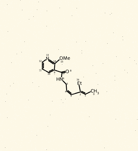 C/C=C(/C=C\CNC(=O)c1cccnc1OC)CC